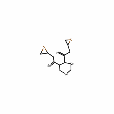 [Se]=C(CC1CS1)C1C[Se]C[Se]C1C(=[Se])CC1CS1